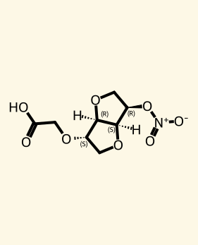 O=C(O)CO[C@H]1CO[C@H]2[C@@H]1OC[C@H]2O[N+](=O)[O-]